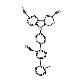 Cc1ccccc1-c1ccc(-c2ccc(-n3c4c(c5cc(C#N)ccc53)C=C(C#N)CC4)cc2)c(C#N)c1